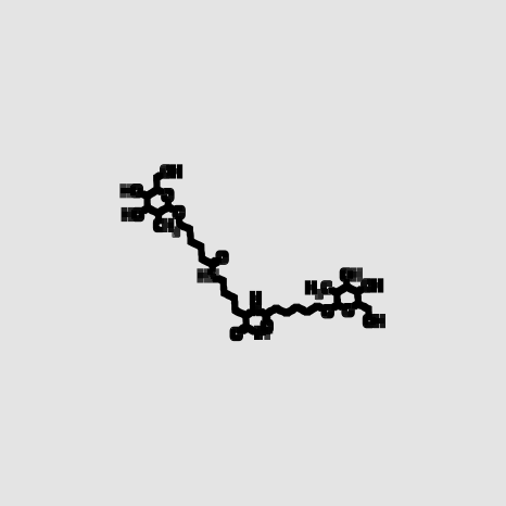 CC(C)C(=O)C(CCCCNC(=O)CCCCCOC1OC(CO)C(O)C(O)C1C)NC(=O)CCCCCOC1OC(CO)C(O)C(O)C1C